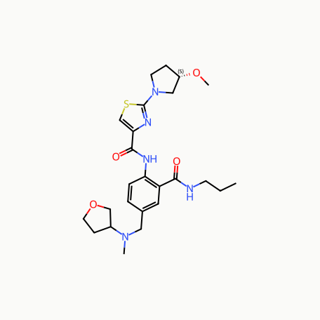 CCCNC(=O)c1cc(CN(C)C2CCOC2)ccc1NC(=O)c1csc(N2CC[C@H](OC)C2)n1